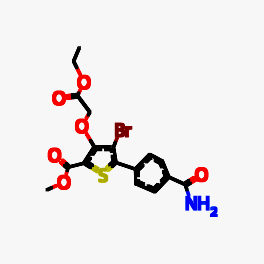 CCOC(=O)COc1c(C(=O)OC)sc(-c2ccc(C(N)=O)cc2)c1Br